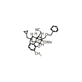 COC12CCC3([C@@H](CC#N)[C@@H]1COCc1ccccc1)[C@H]1Cc4ccc(C)c5c4[C@@]3(CCN1CC1CC1)[C@H]2O5